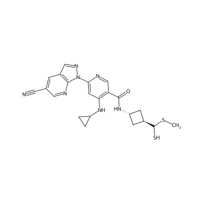 CSC(S)[C@H]1C[C@H](NC(=O)c2cnc(-n3ncc4cc(C#N)cnc43)cc2NC2CC2)C1